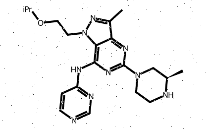 Cc1nn(CCOC(C)C)c2c(Nc3ccncn3)nc(N3CCN[C@H](C)C3)nc12